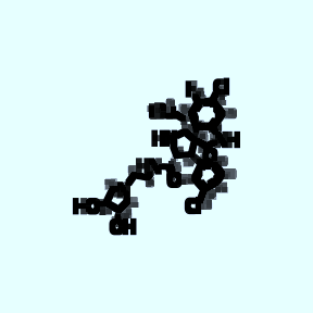 CC(C)(C)C[C@H]1N[C@@H](C(=O)NCCN2C[C@@H](O)[C@@H](O)C2)[C@H](c2cccc(Cl)c2)[C@@]12C(=O)Nc1cc(Cl)c(F)cc12